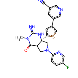 CN1C(=N)N[C@@]2(c3cc(-c4cncc(C#N)c4)cs3)CN(c3ccc(F)cn3)CC2C1=O